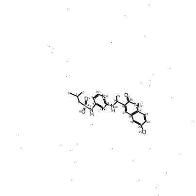 CC(C)CS(=O)(=O)Nc1ccnc(NC(C)c2cc3cc(Cl)ccc3[nH]c2=O)n1